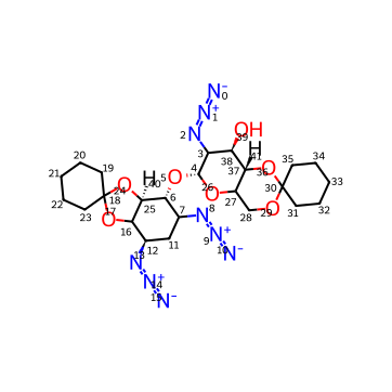 [N-]=[N+]=NC1[C@@H](O[C@@H]2C(N=[N+]=[N-])C[C@@H](N=[N+]=[N-])C3OC4(CCCCC4)O[C@H]32)OC2COC3(CCCCC3)O[C@H]2[C@@H]1O